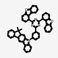 CC1(C)c2ccccc2-c2cc3c4ccccc4n(-c4cccc(-c5nc(-c6cccc7oc8ccccc8c67)nc(-c6cccc7oc8ccccc8c67)n5)c4)c3cc21